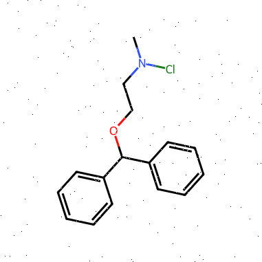 CN(Cl)CCOC(c1ccccc1)c1ccccc1